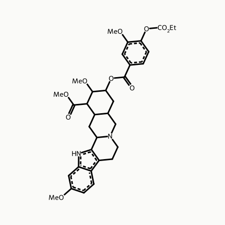 CCOC(=O)Oc1ccc(C(=O)OC2CC3CN4CCc5c([nH]c6cc(OC)ccc56)C4CC3C(C(=O)OC)C2OC)cc1OC